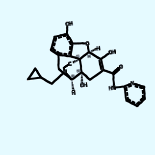 O=C(Nc1ccccn1)C1=C(O)[C@@H]2Oc3c(O)ccc4c3[C@@]23CCN(CC2CC2)[C@H](C4)[C@]3(O)C1